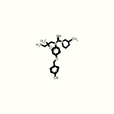 CC1CCCN(C(=N)N(CC(C)(C)CN)c2ccc(OCc3ccc(C#N)cc3)cc2)C1